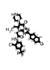 CCc1c(N2CCNCC2)c(=O)n2nc(C3=CC4CC(=O)CC4C3)nc2n1CC(=O)Nc1ccc(C(F)(F)F)cc1Cl